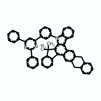 CC1(C)c2ccccc2-c2c1c1c(c3cc4c(cc23)Cc2ccccc2C4)c2ccccc2n1-c1cccc(-c2cc(-c3ccccc3)nc(-c3ccccc3)n2)c1